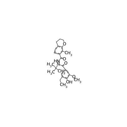 CCc1cc(C(=O)N(NC(=O)c2ccc3c(c2C)OCCC3)C(C)(C)C)cc(OC)c1O